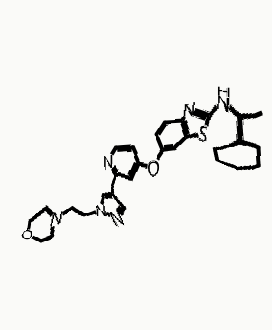 CC(Nc1nc2ccc(Oc3ccnc(-c4cnn(CCN5CCOCC5)c4)c3)cc2s1)C1CCCCC1